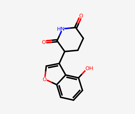 O=C1CCC(c2coc3cccc(O)c23)C(=O)N1